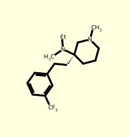 CCN(C)[C@]1(CCc2cccc(C(F)(F)F)c2)CCCN(C)C1